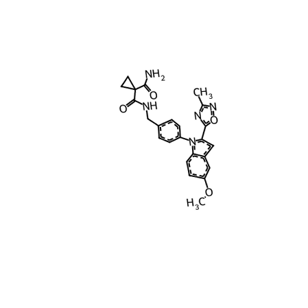 COc1ccc2c(c1)cc(-c1nc(C)no1)n2-c1ccc(CNC(=O)C2(C(N)=O)CC2)cc1